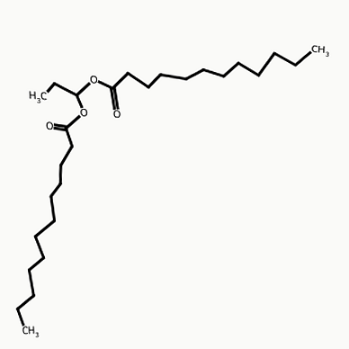 CCCCCCCCCCCC(=O)OC(CC)OC(=O)CCCCCCCCCCC